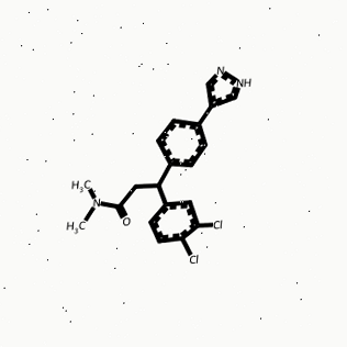 CN(C)C(=O)CC(c1ccc(-c2cn[nH]c2)cc1)c1ccc(Cl)c(Cl)c1